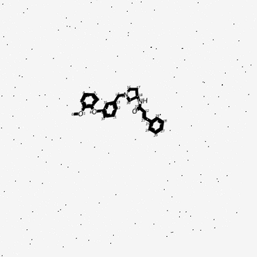 COc1ccccc1Oc1cccc(CN2CCC(NC(=O)C=Cc3ccccc3)C2)c1